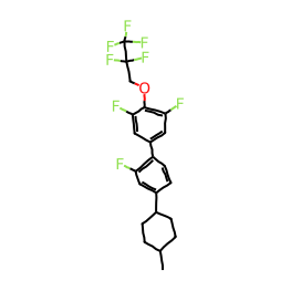 CC1CCC(c2ccc(-c3cc(F)c(OCC(F)(F)C(F)(F)F)c(F)c3)c(F)c2)CC1